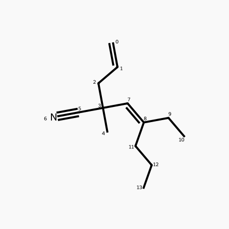 C=CCC(C)(C#N)C=C(CC)CCC